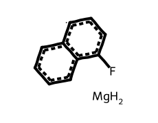 Fc1cc[c]c2ccccc12.[MgH2]